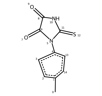 Cc1ccc(N2C(=O)C(=O)NC2=S)cc1